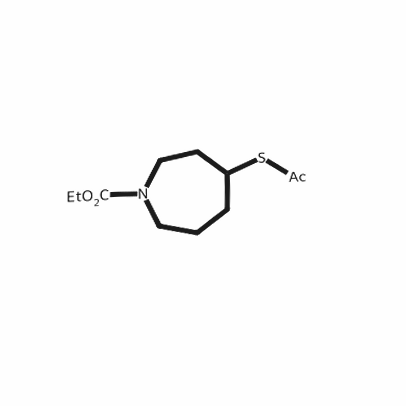 CCOC(=O)N1CCCC(SC(C)=O)CC1